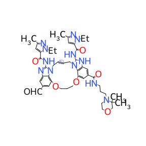 CCn1nc(C)cc1C(=O)Nc1nc2cc(C=O)cc3c2n1C/C=C/CN1c2c(cc(C(=O)NCCCN4CCOCC4(C)C)cc2OCCCO3)NC1NC(=O)c1cc(C)nn1CC